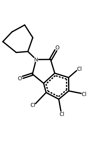 O=C1c2c(Cl)c(Cl)c(Cl)c(Cl)c2C(=O)N1C1CCCCC1